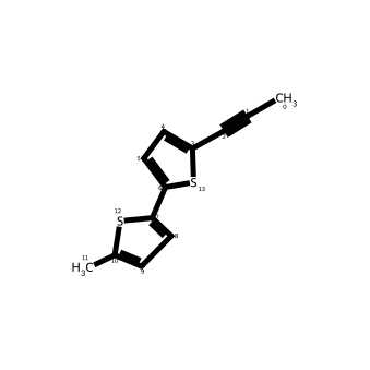 CC#Cc1ccc(-c2ccc(C)s2)s1